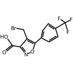 O=C(O)c1noc(-c2ccc(C(F)(F)F)cc2)c1CBr